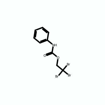 O=C(Nc1ccccc1)OCC(Br)(Br)Br